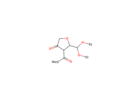 CCOC(OCC)C1OCC(=O)C1C(=O)OC